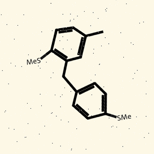 CSc1ccc(Cc2cc(C)ccc2SC)cc1